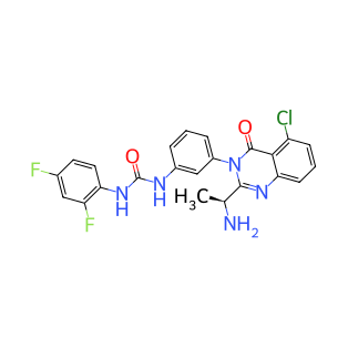 C[C@H](N)c1nc2cccc(Cl)c2c(=O)n1-c1cccc(NC(=O)Nc2ccc(F)cc2F)c1